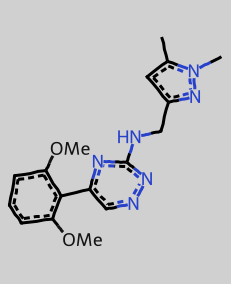 COc1cccc(OC)c1-c1cnnc(NCc2cc(C)n(C)n2)n1